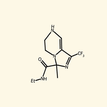 CCNC(=O)C1(C)N=C(C(F)(F)F)C2=CNCCN21